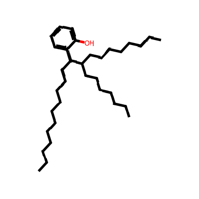 CCCCCCCCCCCC(c1ccccc1O)C(CCCCCCC)CCCCCCCC